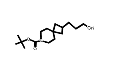 CC(C)(C)OC(=O)N1CCC2(CC1)CC(CCCO)C2